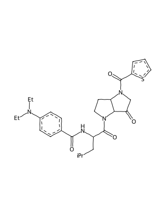 CCN(CC)c1ccc(C(=O)NC(CC(C)C)C(=O)N2CCC3C2C(=O)CN3C(=O)c2cccs2)cc1